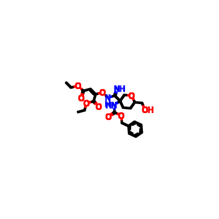 CCOC(=O)/C=C(/ONC(=N)C1(NC(=O)OCc2ccccc2)CCC(CO)OC1)C(=O)OCC